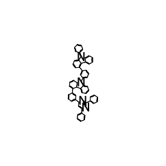 C1=CC2C(C(c3cccc(-c4cc(-c5ccccc5)nc(-c5ccccc5)n4)c3)=C1)c1ccccc1N2c1cccc(-c2cccc3c2c2ccccc2n3-c2ccccc2)c1